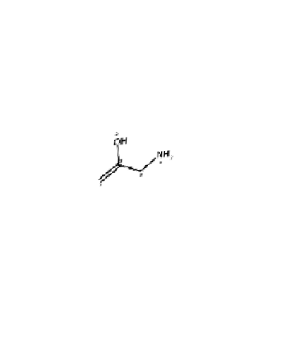 C=C(O)[CH]N